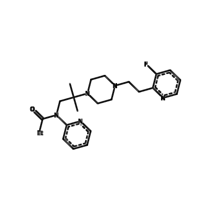 CCC(=O)N(CC(C)(C)N1CCN(CCc2ncccc2F)CC1)c1ccccn1